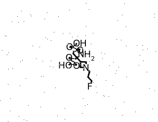 NC(CS(=O)(=O)O)(C1CN(CCCF)C1)S(=O)(=O)O